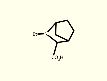 CCN1C2CCC(C2)C1C(=O)O